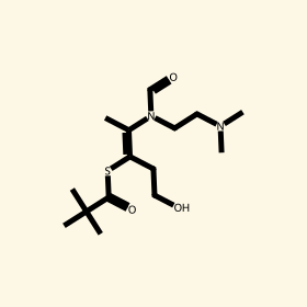 CC(=C(CCO)SC(=O)C(C)(C)C)N(C=O)CCN(C)C